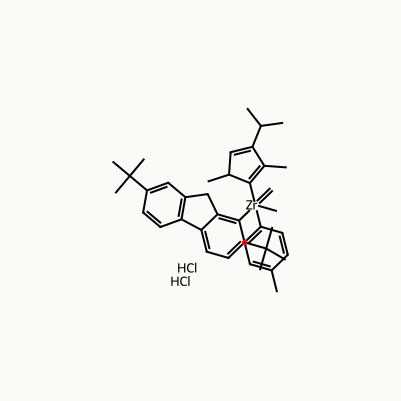 Cl.Cl.[CH2]=[Zr]([CH3])([C]1=C(C)C(C(C)C)=CC1C)([c]1ccc(C)cc1)[c]1c(C(C)(C)C)ccc2c1Cc1cc(C(C)(C)C)ccc1-2